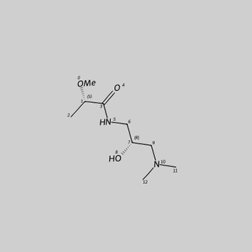 CO[C@@H](C)C(=O)NC[C@@H](O)CN(C)C